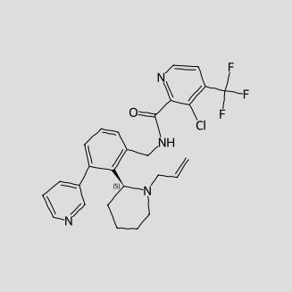 C=CCN1CCCC[C@H]1c1c(CNC(=O)c2nccc(C(F)(F)F)c2Cl)cccc1-c1cccnc1